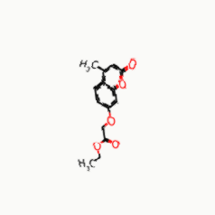 CCOC(=O)COc1ccc2c(C)cc(=O)oc2c1